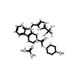 O=C(C[C@H]1CC[C@H](O)CC1)N1CCc2c(n(Cc3cnc(C(F)(F)F)s3)c3ncccc23)C1.O=C(O)O